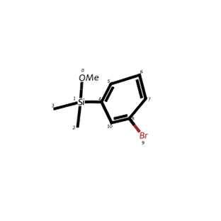 CO[Si](C)(C)c1cccc(Br)c1